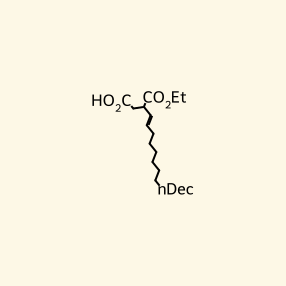 CCCCCCCCCCCCCCCCC=CC(CC(=O)O)C(=O)OCC